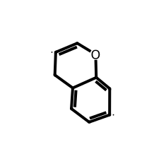 [C]1=COc2c[c]ccc2C1